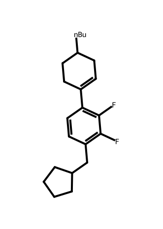 CCCCC1CC=C(c2ccc(CC3CCCC3)c(F)c2F)CC1